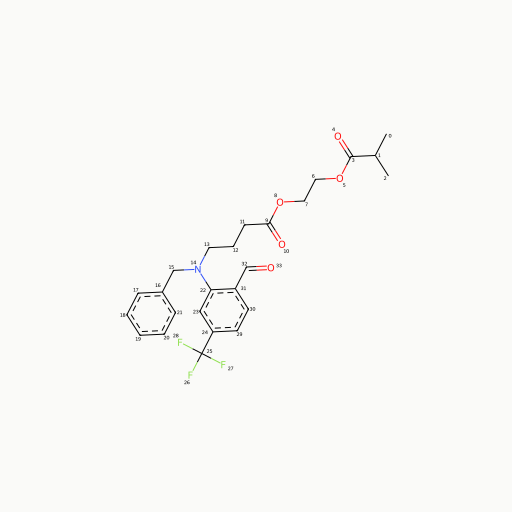 CC(C)C(=O)OCCOC(=O)CCCN(Cc1ccccc1)c1cc(C(F)(F)F)ccc1C=O